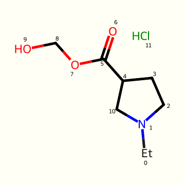 CCN1CCC(C(=O)OCO)C1.Cl